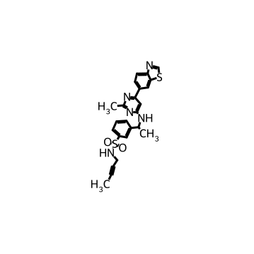 CC#CCNS(=O)(=O)c1cccc(C(C)Nc2cc(-c3ccc4ncsc4c3)nc(C)n2)c1